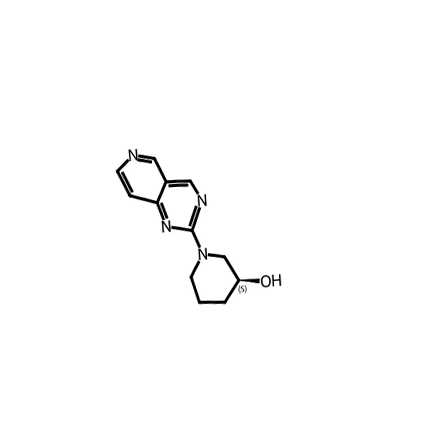 O[C@H]1CCCN(c2ncc3cnccc3n2)C1